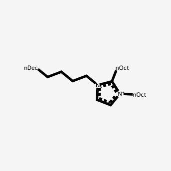 CCCCCCCCCCCCCCn1cc[n+](CCCCCCCC)c1CCCCCCCC